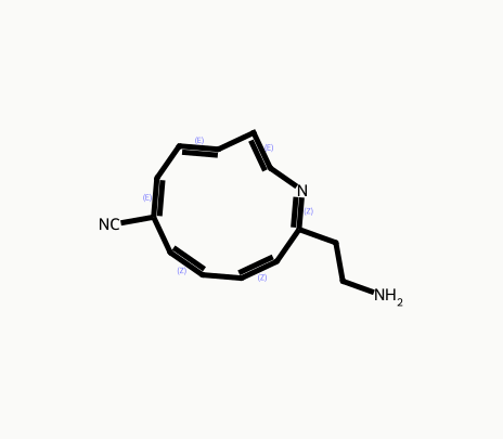 N#CC1=C/C=C/C=C/N=C(CCN)\C=C/C=C\1